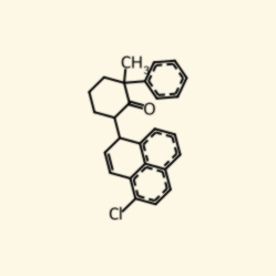 CC1(c2ccccc2)CCCC(C2C=Cc3c(Cl)ccc4cccc2c34)C1=O